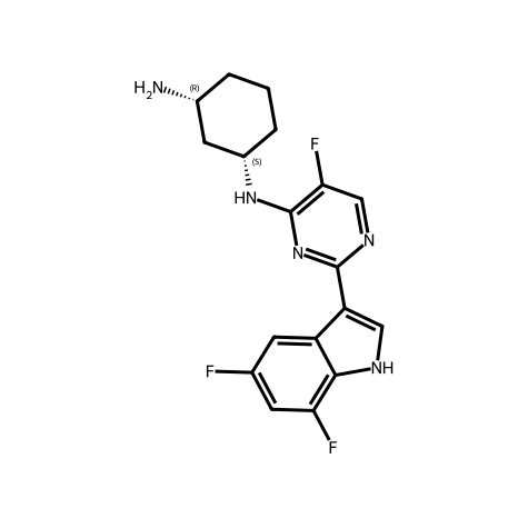 N[C@@H]1CCC[C@H](Nc2nc(-c3c[nH]c4c(F)cc(F)cc34)ncc2F)C1